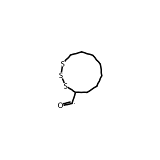 O=[C]C1CCCCCCCSSS1